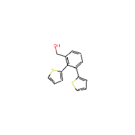 OCc1cccc(-c2cccs2)c1-c1cccs1